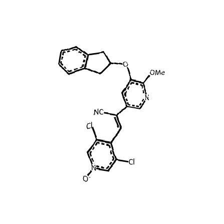 COc1ncc(C(C#N)=Cc2c(Cl)c[n+]([O-])cc2Cl)cc1OC1Cc2ccccc2C1